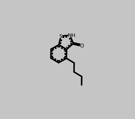 CCCCc1cccc2s[nH]c(=O)c12